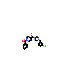 O=C(c1ccccc1)N1CCC(C(=O)N2CCN(Cc3cccc(Cl)c3)CC2)CC1